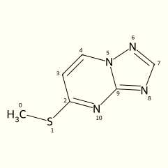 CSc1ccn2ncnc2n1